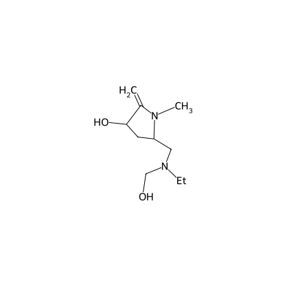 C=C1C(O)CC(CN(CC)CO)N1C